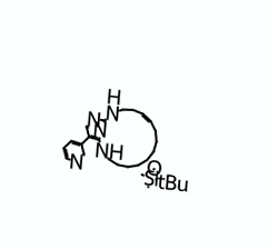 CC(C)(C)[Si](C)(C)OC1CCCC=CCCNc2ncc(-c3cccnc3)c(n2)NCCCC1